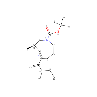 C=C(/C1=C\[C@@H](C)CN(C(=O)OC(C)(C)C)CCC1)C(C)CC